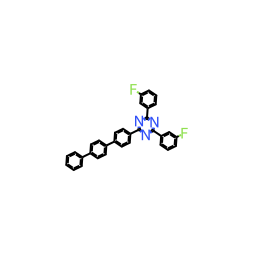 Fc1cccc(-c2nc(-c3ccc(-c4ccc(-c5ccccc5)cc4)cc3)nc(-c3cccc(F)c3)n2)c1